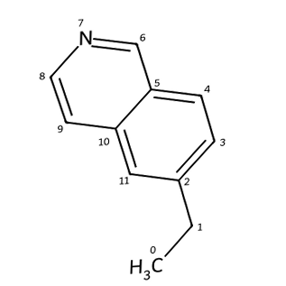 CCc1ccc2cnccc2c1